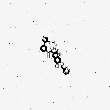 Cc1cscc1-c1cccc(NC(C)c2cc3cc(Cl)c(OCc4ccccn4)cc3[nH]c2=O)c1